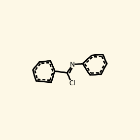 Cl/C(=N\c1ccccc1)c1ccccc1